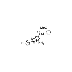 COc1ccccc1CNC(=O)c1cc(N)n2nc(-c3ccc(Cl)o3)nc2c1